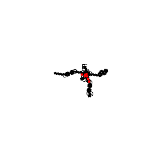 C=C(C)C(=O)OCCOP(N=P(C)(OCCCCCOc1ccc(-c2ccc(OC(=O)C(=C)C)cc2)cc1)OCCCCCC1CC[C@@]2(C)C(CC[C@@]3(C)C4CCCC4CCC23)C1)(=NP(=NC)(OCCCCCC)OCCCCCOc1ccc(-c2ccc(OCCCCCCCC)cc2)cc1)OCCC(F)(F)F